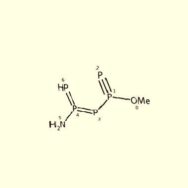 COP(#P)P=P(N)=P